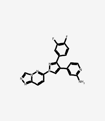 Nc1cc(-c2cn(-c3ccc4nncn4n3)nc2-c2ccc(F)c(F)c2)ccn1